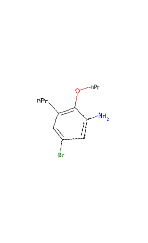 CCCOc1c(N)cc(Br)cc1CCC